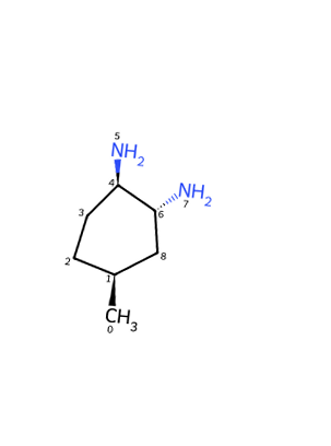 C[C@H]1CC[C@@H](N)[C@H](N)C1